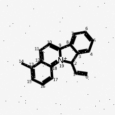 C=CC1c2ccccc2-c2ccc3c(C)cccc3[n+]21